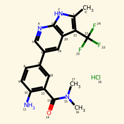 Cc1[nH]c2ncc(-c3ccc(N)c(C(=O)N(C)C)c3)cc2c1C(F)(F)F.Cl